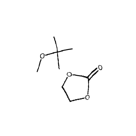 COC(C)(C)C.O=C1OCCO1